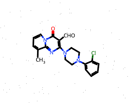 Cc1cccn2c(=O)c(C=O)c(N3CCN(c4ccccc4Cl)CC3)nc12